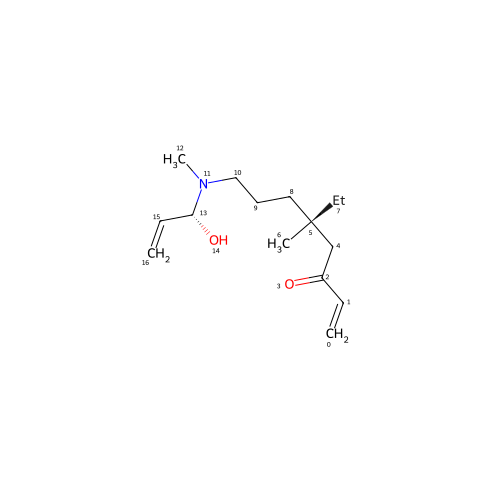 C=CC(=O)C[C@@](C)(CC)CCCN(C)[C@H](O)C=C